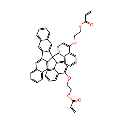 C=CC(=O)OCCOc1ccc(C2(c3ccc(OCCOC(=O)C=C)c4ccccc34)c3cc4ccccc4cc3-c3cc4ccccc4cc32)c2ccccc12